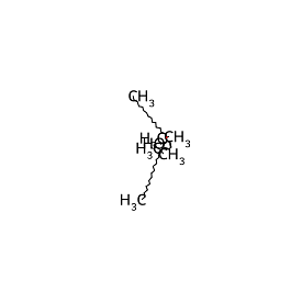 CCCCCCCCCCCCCCCC(C)(C)c1cccc(C(C)(C)CCCCCCCCCCCCCCC)c1O